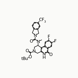 CN(C(=O)N1Cc2ccc(C(F)(F)F)cc2C1)C1CN(C(=O)OC(C)(C)C)Cc2[nH]c(=O)c3cc(F)c(F)cc3c21